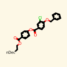 CCCCCCCCCCCCOC(=O)c1ccc(OC(=O)c2ccc(OCc3ccccc3)c(Cl)c2)cc1